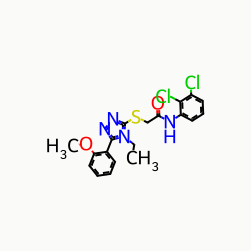 CCn1c(SCC(=O)Nc2cccc(Cl)c2Cl)nnc1-c1ccccc1OC